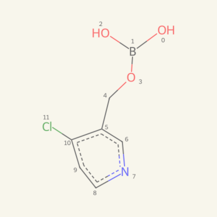 OB(O)OCc1cnccc1Cl